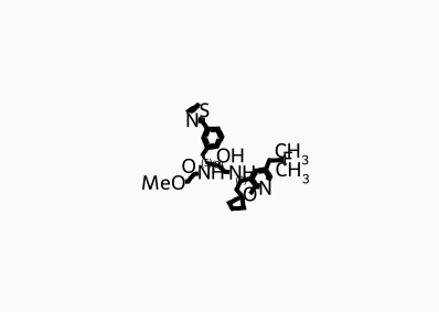 COCC(=O)N[C@@H](Cc1cccc(-c2nccs2)c1)[C@H](O)CN[C@H]1CC2(CCC2)Oc2ncc(CC(C)(C)F)cc21